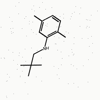 Cc1ccc(C)c(NCC(C)(C)C)c1